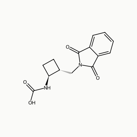 O=C(O)N[C@H]1CC[C@@H]1CN1C(=O)c2ccccc2C1=O